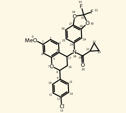 COc1ccc2c(c1)OC(c1ccc(Cl)cc1)CC2N(C(=O)C1CC1)c1ccc2c(c1)OC(F)(F)O2